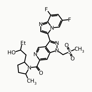 CCC(O)CC1CCC(C)N1C(=O)c1cc2c(cn1)c(-c1cnc3c(F)cc(F)cn13)nn2CS(C)(=O)=O